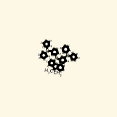 CC1(C)c2ccccc2-c2c(N(c3cccc(N(c4ccccc4)c4ccccc4)c3)c3cccc(N(c4ccccc4)c4ccccc4)c3)cccc21